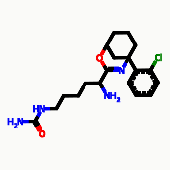 NC(=O)NCCCCC(N)C1=NC2(c3ccccc3Cl)CCCC(C2)O1